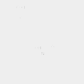 O=C(O)COc1cccc(C[C@@]2(O)CCCC=C2c2nc(-c3ccccc3)c(-c3ccccc3)o2)c1